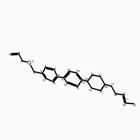 C=CCOCc1ccc(-c2ccc(C3CCC(CC/C=C/C)CC3)cc2)cc1